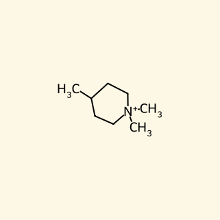 CC1CC[N+](C)(C)CC1